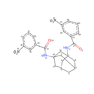 O=C(NC12CC3CC(C1)CC(NC(=O)c1cccc([N+](=O)[O-])c1)(C3)C2)c1cccc([N+](=O)[O-])c1